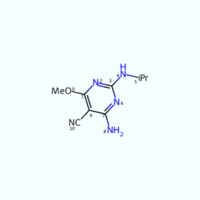 COc1nc(NC(C)C)nc(N)c1C#N